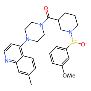 COc1cccc([S+]([O-])N2CCCC(C(=O)N3CCN(c4ccnc5cc(C)ccc45)CC3)C2)c1